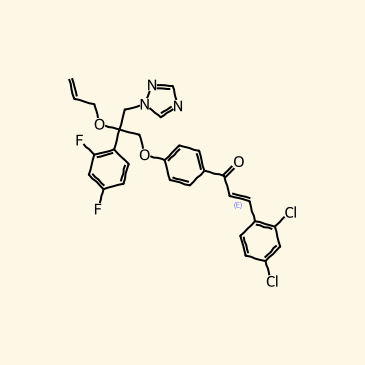 C=CCOC(COc1ccc(C(=O)/C=C/c2ccc(Cl)cc2Cl)cc1)(Cn1cncn1)c1ccc(F)cc1F